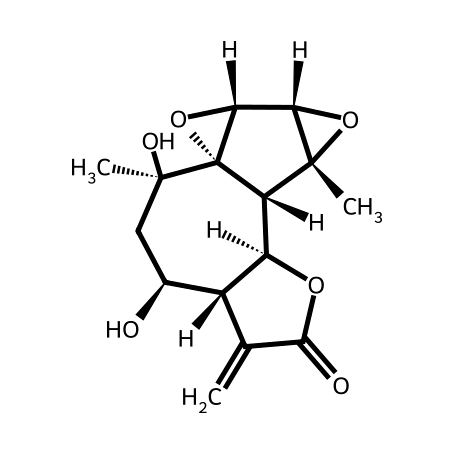 C=C1C(=O)O[C@H]2[C@H]1[C@@H](O)C[C@@](C)(O)[C@@]13O[C@@H]1[C@@H]1O[C@]1(C)[C@H]23